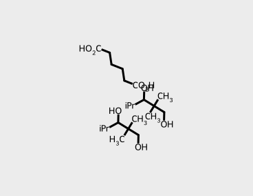 CC(C)C(O)C(C)(C)CO.CC(C)C(O)C(C)(C)CO.O=C(O)CCCCC(=O)O